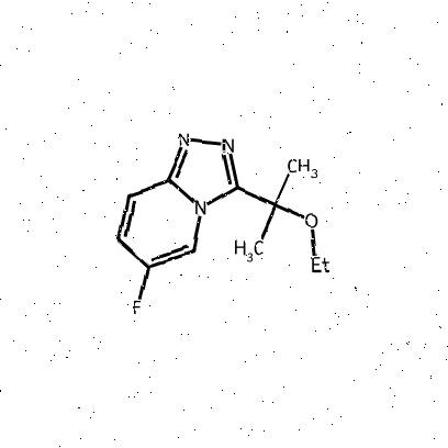 CCOC(C)(C)c1nnc2ccc(F)cn12